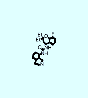 CCC1(CC)C[C@@H](NC(=O)Nc2cccc3ccncc23)c2cccc(F)c2O1